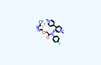 CC(C)N(C(=O)COc1nnc(C(F)(F)F)s1)c1ccc(F)cc1.C[n+]1ccc(-c2cc[n+](C)cc2)cc1